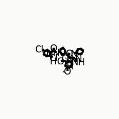 COc1cc(CO)cc(Nc2nc3ccccc3nc2NS(=O)(=O)c2cccc(NC(=O)c3cc(Cl)ccc3Cl)c2)c1